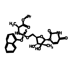 CC(C)OC(=O)[C@H](C)NP(=S)(OC[C@H]1O[C@@H](n2ccc(=O)[nH]c2=O)[C@](C)(O)[C@@H]1O)Oc1cccc2ccccc12